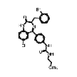 COCCNC(=O)Nc1ccc(C2=NC(Cc3ccccc3Br)C(=O)Nc3ccc(Cl)cc32)cc1